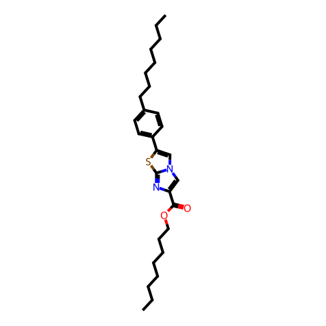 CCCCCCCCOC(=O)c1cn2cc(-c3ccc(CCCCCCCC)cc3)sc2n1